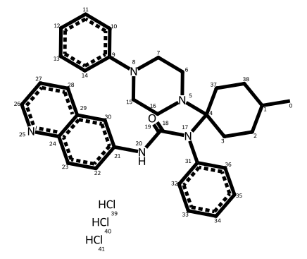 CC1CCC(N2CCN(c3ccccc3)CC2)(N(C(=O)Nc2ccc3ncccc3c2)c2ccccc2)CC1.Cl.Cl.Cl